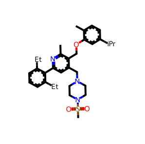 CCc1cccc(CC)c1-c1cc(CN2CCN(S(C)(=O)=O)CC2)c(COc2cc(C(C)C)ccc2C)c(C)n1